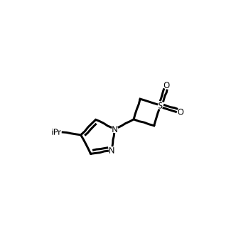 CC(C)c1cnn(C2CS(=O)(=O)C2)c1